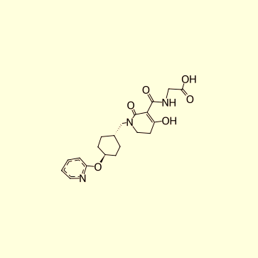 O=C(O)CNC(=O)C1=C(O)CCN(C[C@H]2CC[C@H](Oc3ccccn3)CC2)C1=O